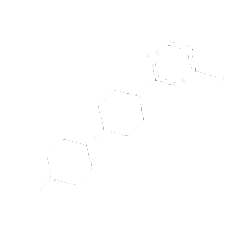 Cc1cc(N2CCC(C3CCN(C(=O)O)CC3)CC2)ncn1